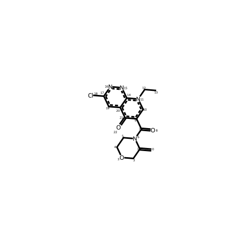 C=C1COCCN1C(=O)c1cn(CC)c2nnc(Cl)cc2c1=O